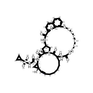 O=C1N[C@H]2CCCCC/C=C\[C@@H]3C[C@@]3(C(=O)NS(=O)(=O)C3CC3)NC(=O)[C@@H]3C[C@H](CN3C2=O)NC(=O)c2ccc3cccc(c3n2)OCCCCCCO1